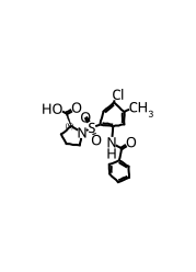 Cc1cc(NC(=O)c2ccccc2)c(S(=O)(=O)N2CCC[C@H]2C(=O)O)cc1Cl